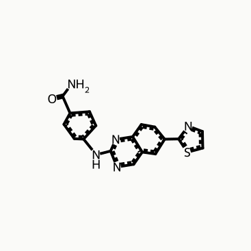 NC(=O)c1ccc(Nc2ncc3cc(-c4nccs4)ccc3n2)cc1